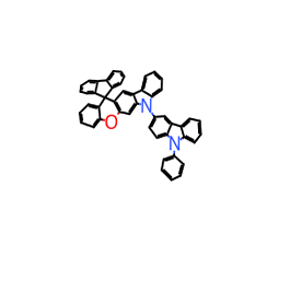 c1ccc(-n2c3ccccc3c3cc(-n4c5ccccc5c5cc6c(cc54)Oc4ccccc4C64c5ccccc5-c5ccccc54)ccc32)cc1